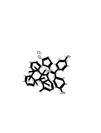 CC1=CC=CC2[CH]([Hf+2]([C]3=CC=CC3)=[C](c3ccc(C(C)C)cc3)c3ccc(C(C)C)cc3)C3(C)C4(C)C=CC=CC4(C)C4(C)C=CC=CC4(C)C3(C)C12C.[Cl-].[Cl-]